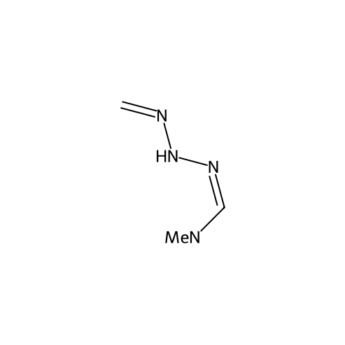 C=NN/N=C\NC